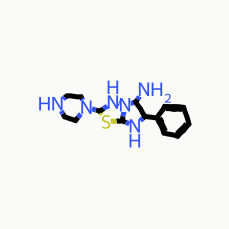 NC1C(c2ccccc2)NC2SC(N3CCNCC3)NN21